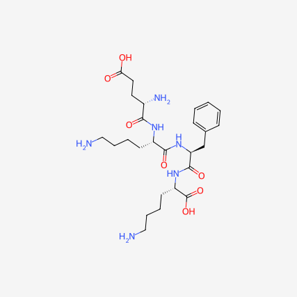 NCCCC[C@H](NC(=O)[C@H](Cc1ccccc1)NC(=O)[C@H](CCCCN)NC(=O)[C@@H](N)CCC(=O)O)C(=O)O